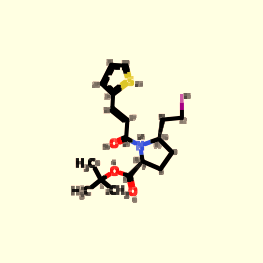 CC(C)(C)OC(=O)[C@@H]1CC[C@H](CCI)N1C(=O)C=Cc1cccs1